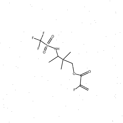 C=C(F)C(=O)OCC(C)(C)C(C)NS(=O)(=O)C(F)(F)F